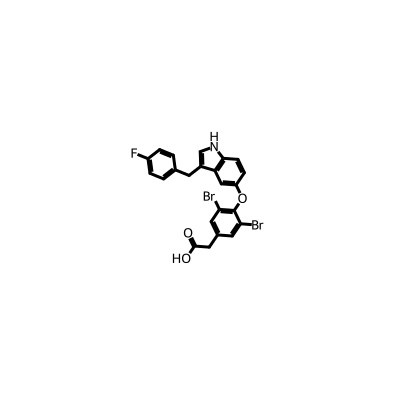 O=C(O)Cc1cc(Br)c(Oc2ccc3[nH]cc(Cc4ccc(F)cc4)c3c2)c(Br)c1